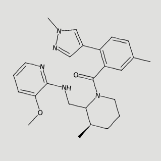 COc1cccnc1NCC1[C@H](C)CCCN1C(=O)c1cc(C)ccc1-c1cnn(C)c1